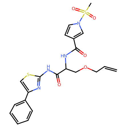 C=CCOCC(NC(=O)c1ccn(S(C)(=O)=O)c1)C(=O)Nc1nc(-c2ccccc2)cs1